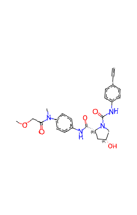 C#Cc1ccc(NC(=O)N2C[C@H](O)C[C@@H]2C(=O)Nc2ccc(N(C)C(=O)COC)cc2)cc1